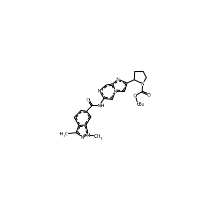 Cc1nn(C)c2cc(C(=O)Nc3cn4cc(C5CCCN5C(=O)OC(C)(C)C)nc4cn3)ccc12